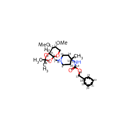 CO[C@@H]1[C@H](OC)CO[C@@]2(CN3CCC(C)(NC(=O)OCc4ccccc4)CC3)OC(C)(C)O[C@@H]12